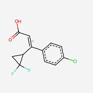 O=C(O)/C=C(/c1ccc(Cl)cc1)C1CC1(F)F